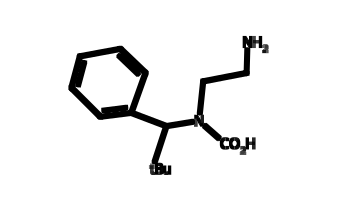 CC(C)(C)C(c1ccccc1)N(CCN)C(=O)O